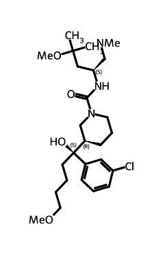 CNC[C@H](CC(C)(C)OC)NC(=O)N1CCC[C@@H]([C@@](O)(CCCCOC)c2cccc(Cl)c2)C1